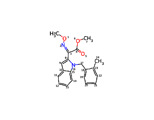 CON=C(C(=O)OC)c1cc2ccccc2n1Cc1ccccc1C